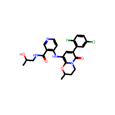 CC(O)CNC(=O)c1cnccc1Nc1cc(-c2cc(Cl)ccc2F)c(=O)n2c1OC(C)CC2